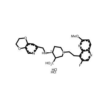 COc1ccc2ncc(F)c(CCN3CC[C@H](NCc4cc5c(cn4)OCCO5)C(C(=O)O)C3)c2n1.Cl.Cl